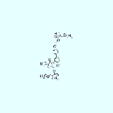 C=C(C)C(=O)Oc1cc(-c2ccc(OCCOC(=O)C(=C)COC)cc2)ccc1OCCOC(=O)C(=C)COC